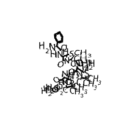 CC1(C)S[C@@H]2C(N)C(=O)N2[C@H]1C(=O)O.CC1(C)S[C@@H]2[C@H](N)C(=O)N2[C@H]1C(=O)O.CC1(C)S[C@@H]2[C@H](NC(=O)[C@H](N)c3ccccc3)C(=O)N2[C@H]1C(=O)O.O.O.O